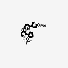 COc1ccc(-c2ccc3nc4c(n3n2)C(c2ccccc2OC(F)F)NCC4)cn1